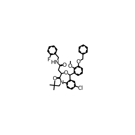 COc1c(OCc2ccccc2)cccc1C1OC(CC(=O)NCc2ccccc2F)C(=O)N(CC(C)(C)C)c2ccc(Cl)cc21